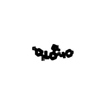 Cn1nccc1-c1cc(NC(=O)Nc2ccc(Cl)cc2)ccc1OCC(C)(C)N1CCOCC1